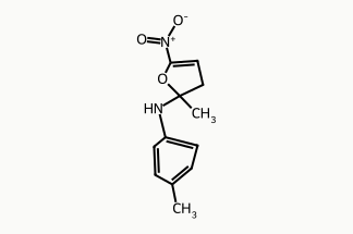 Cc1ccc(NC2(C)CC=C([N+](=O)[O-])O2)cc1